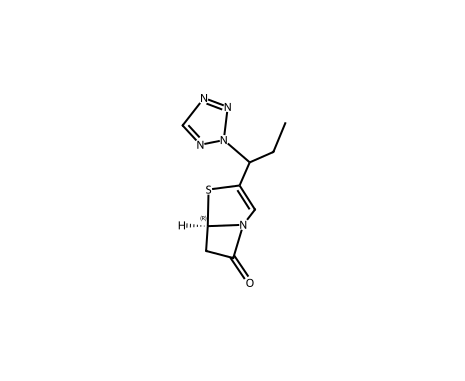 CCC(C1=CN2C(=O)C[C@H]2S1)n1ncnn1